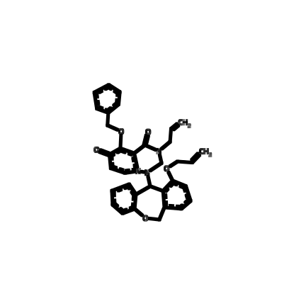 C=CCOc1cccc2c1C(N1CN(CC=C)C(=O)c3c(OCc4ccccc4)c(=O)ccn31)c1ccccc1OC2